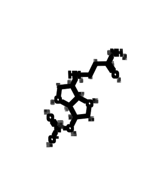 NC(=O)CCNC1COC2C(O[N+](=O)[O-])COC12